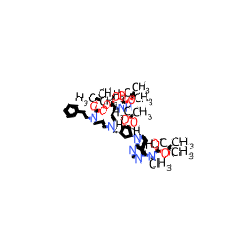 CN(C(=O)OC(C)(C)C)c1ncnc2c1ccn2[C@@H]1C[C@H](CN(CCCN(CCc2ccccc2)C(=O)OC(C)(C)C)CCC(NC(=O)OC(C)(C)C)C(=O)O)[C@H]2OC(C)(C)O[C@H]21